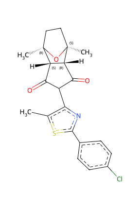 Cc1sc(-c2ccc(Cl)cc2)nc1C1C(=O)[C@@H]2[C@H](C1=O)[C@@]1(C)CC[C@]2(C)O1